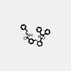 O=C(NSCc1ccccc1)c1cccc(C[C@@H]2CCCC=C2c2nc(-c3ccccc3)c(-c3ccccc3)o2)c1